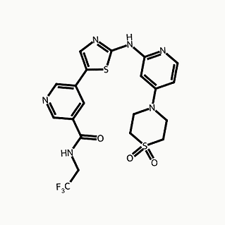 O=C(NCC(F)(F)F)c1cncc(-c2cnc(Nc3cc(N4CCS(=O)(=O)CC4)ccn3)s2)c1